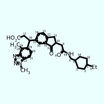 CCC1CCC(CNC(=O)CC2Cc3ccc(C(CC(=O)O)c4ccc5c(nnn5C)c4C)cc3C2=O)CC1